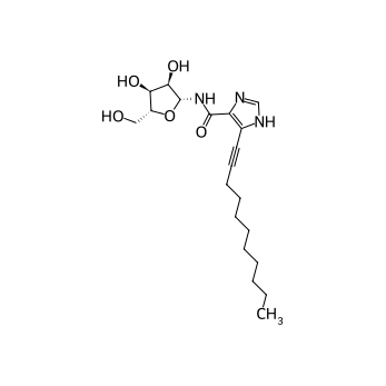 CCCCCCCCCC#Cc1[nH]cnc1C(=O)N[C@@H]1O[C@H](CO)[C@@H](O)[C@H]1O